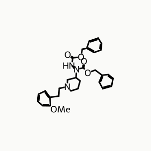 COc1ccccc1CCN1CCCC(N(NC(=O)OCc2ccccc2)C(=O)OCc2ccccc2)C1